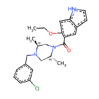 CCOc1cc2[nH]ccc2cc1C(=O)N1C[C@H](C)N(Cc2cccc(Cl)c2)C[C@H]1C